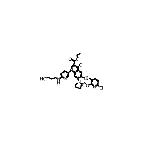 CCOC(=O)c1cn(-c2ccc(NCCCO)nc2)c2cc(N3CCC[C@@H]3COc3nc(Cl)ccc3Cl)c(Cl)cc2c1=O